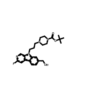 CC(C)(C)OC(=O)N1CCN(CCCn2c3cnc(F)cc3c3ccc(CO)cc32)CC1